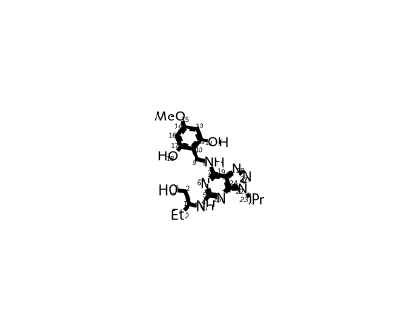 CCC(CO)Nc1nc(NCc2c(O)cc(OC)cc2O)c2nnn(C(C)C)c2n1